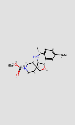 COc1ccc([C@@H](C)N[C@@H]2COCC23CCN(C(=O)OC(C)(C)C)CC3)cc1